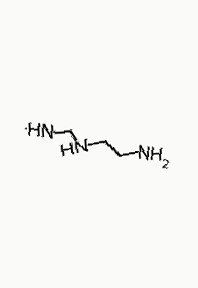 [NH]CNCCN